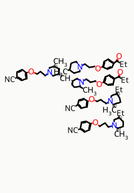 CCC(=O)c1ccc(OCCCN2CCC(C)CC2)cc1.CCC(=O)c1ccc(OCCCN2CCCCC2C)cc1.CC[C@@H]1CC[C@H](C)N(CCCOc2ccc(C#N)cc2)C1.CC[C@H]1CC[C@H](C)N(CCCOc2ccc(C#N)cc2)C1.C[C@@H]1C[C@H](C)CN(CCCOc2ccc(C#N)cc2)C1